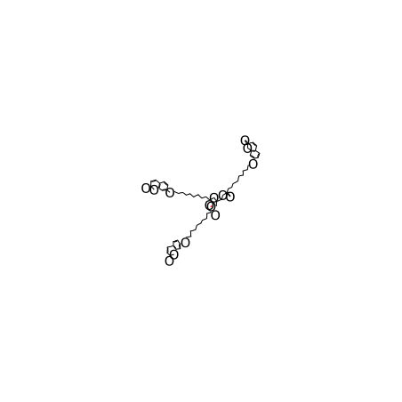 O=C(CCCCCCCCCOc1ccc2ccc(=O)oc2c1)OCC(COC(=O)CCCCCCCCCOc1ccc2ccc(=O)oc2c1)OC(=O)CCCCCCCCCOc1ccc2ccc(=O)oc2c1